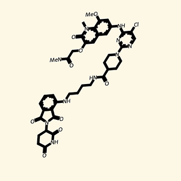 CNC(=O)COc1cc2cc(Nc3nc(N4CCC(C(=O)NCCCCNc5cccc6c5C(=O)N(C5CCC(=O)NC5=O)C6=O)CC4)ncc3Cl)cc(OC)c2n(C)c1=O